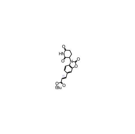 CC(C)(C)OC(=O)/C=C/c1ccc2c(c1)oc(=O)n2C1CCC(=O)NC1=O